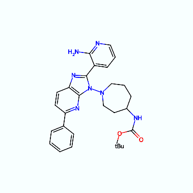 CC(C)(C)OC(=O)NC1CCCN(n2c(-c3cccnc3N)nc3ccc(-c4ccccc4)nc32)CC1